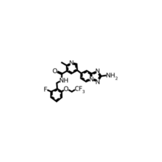 Cc1ncc(-c2ccn3nc(N)nc3c2)cc1C(=O)NCc1c(F)cccc1OCC(F)(F)F